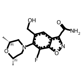 C[C@@H]1CN(c2c(CO)cc3c(C(N)=O)noc3c2F)C[C@H](C)O1